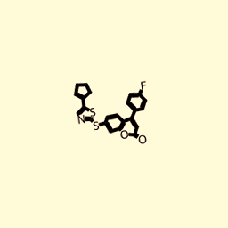 O=c1cc(-c2ccc(F)cc2)c2ccc(Sc3ncc(C4=CCCC4)s3)cc2o1